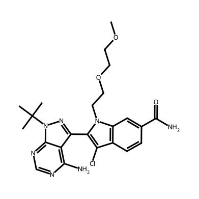 COCCOCCn1c(-c2nn(C(C)(C)C)c3ncnc(N)c23)c(Cl)c2ccc(C(N)=O)cc21